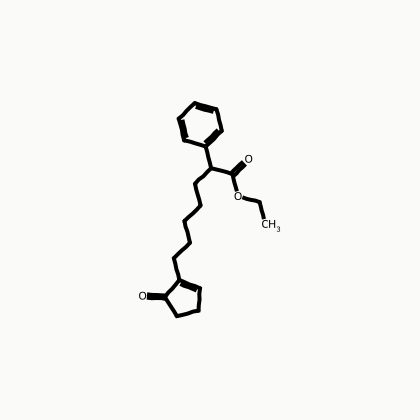 CCOC(=O)C(CCCCCC1=CCCC1=O)c1ccccc1